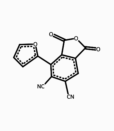 N#Cc1cc2c(c(-c3ccco3)c1C#N)C(=O)OC2=O